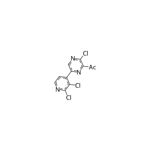 CC(=O)c1nc(-c2ccnc(Cl)c2Cl)cnc1Cl